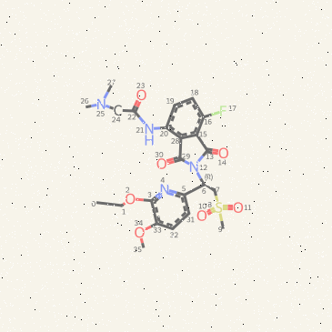 CCOc1nc([C@H](CS(C)(=O)=O)N2C(=O)c3c(F)ccc(NC(=O)CN(C)C)c3C2=O)ccc1OC